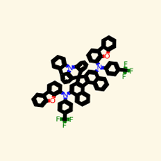 FC(F)(F)c1ccc(N(c2cc3c(c4ccccc24)-c2c(cc(N(c4ccc(C(F)(F)F)cc4)c4cccc5c4oc4ccccc45)c4ccccc24)C32c3ccccc3-n3c4ccccc4c4cccc2c43)c2cccc3c2oc2ccccc23)cc1